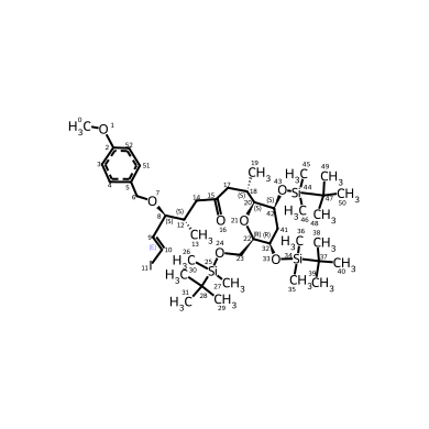 COc1ccc(CO[C@H](/C=C/I)[C@@H](C)CC(=O)C[C@H](C)[C@@H]2O[C@H](CO[Si](C)(C)C(C)(C)C)[C@H](O[Si](C)(C)C(C)(C)C)C[C@@H]2O[Si](C)(C)C(C)(C)C)cc1